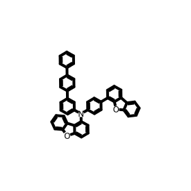 c1ccc(-c2ccc(-c3cccc(N(c4ccc(-c5cccc6c5oc5ccccc56)cc4)c4cccc5oc6ccccc6c45)c3)cc2)cc1